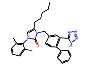 CCCCCc1cn(-c2c(C)cccc2F)c(=O)n1Cc1ccc(-c2ccccc2)c(-c2nnn[nH]2)c1